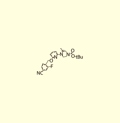 C[C@H]1CN(C(=O)OC(C)(C)C)CCN1c1cccc(OCc2ccc(C#N)cc2F)n1